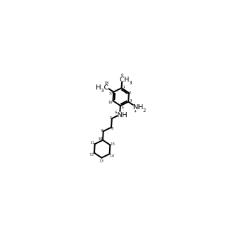 Cc1cc(N)c(NCCCC2CCCCC2)cc1C